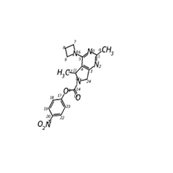 Cc1nc2c(c(N3CCC3)n1)C(C)N(C(=O)Oc1ccc([N+](=O)[O-])cc1)C2